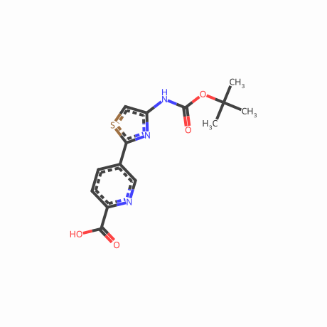 CC(C)(C)OC(=O)Nc1csc(-c2ccc(C(=O)O)nc2)n1